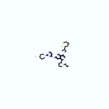 C=CC(=O)N1CCCC1c1ncc(N2CC(C3CC(C)(O)CCS3(=O)=O)C2)c2cnc(Nc3ccnc(N4CC[C@@H](OC)[C@@H](F)C4)n3)cc12